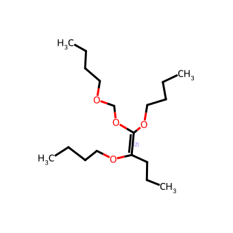 CCCCOCO/C(OCCCC)=C(/CCC)OCCCC